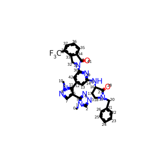 Cn1cnnc1-c1cnn(C)c1-c1cc(N[C@@H]2CCN(Cc3ccccc3)C2=O)nc(N2Cc3c(cccc3C(F)(F)F)C2=O)c1